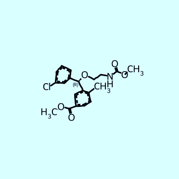 COC(=O)NCCO[C@H](c1cccc(Cl)c1)c1cc(C(=O)OC)ccc1C